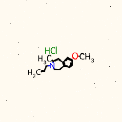 C=CCN1CCc2ccc(OC)cc2CC1C.Cl